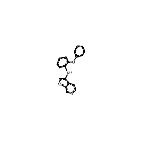 c1ccc(Oc2ccccc2Nc2coc3cnccc23)cc1